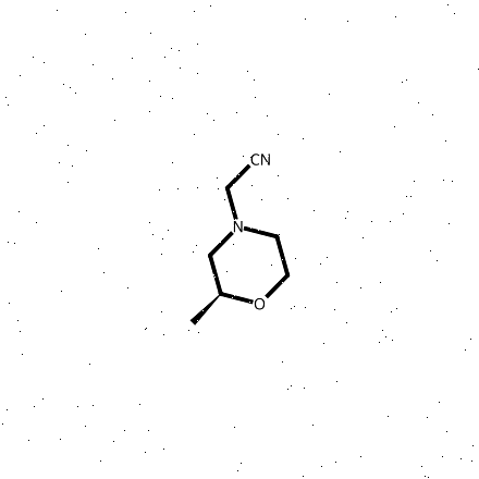 C[C@H]1CN(CC#N)CCO1